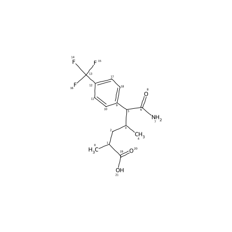 CC(CC(C)C(C(N)=O)c1ccc(C(F)(F)F)cc1)C(=O)O